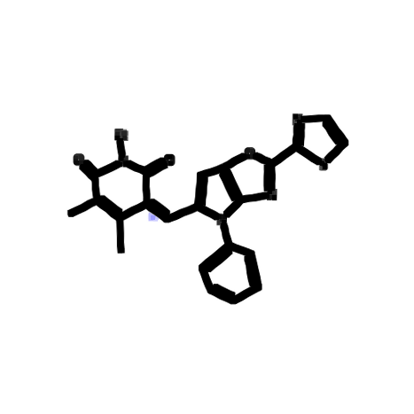 CCN1C(=O)C(C)=C(C)/C(=C/c2cc3oc(-c4nccs4)nc3n2-c2ccccc2)C1=O